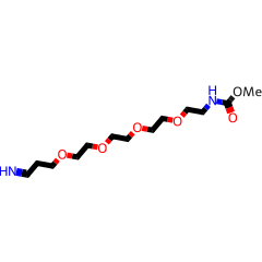 COC(=O)NCCOCCOCCOCCOCCC=N